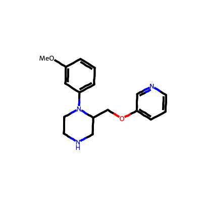 COc1cccc(N2CCNCC2COc2cccnc2)c1